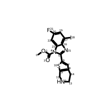 COC(=O)n1c(-c2cc3c(s2)CNCC3)nc2c(I)cc(F)cc21